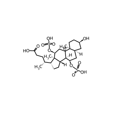 C[C@H](CCC(=O)O)[C@H]1CC[C@H]2[C@@H]3[C@H](OS(=O)(=O)O)C[C@@H]4C[C@H](O)CC[C@]4(C)[C@H]3C[C@H](OS(=O)(=O)O)[C@]12C